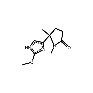 COc1nc(C2(C)CCC(=O)N2C)c[nH]1